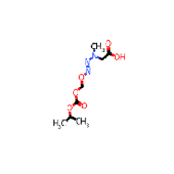 CC(C)OC(=O)OCON=NN(C)CC(=O)O